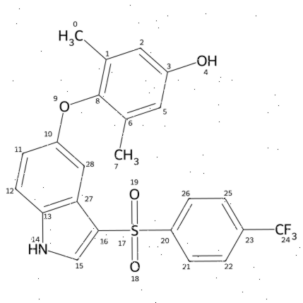 Cc1cc(O)cc(C)c1Oc1ccc2[nH]cc(S(=O)(=O)c3ccc(C(F)(F)F)cc3)c2c1